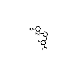 NC1CCCc2c1nnn2-c1cc(Cc2cc(F)cc(C(F)F)c2)ccn1